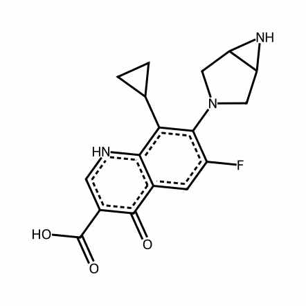 O=C(O)c1c[nH]c2c(C3CC3)c(N3CC4NC4C3)c(F)cc2c1=O